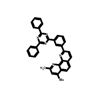 Cc1cc(C(C)(C)C)c2ccc3ccc(-c4cccc(-c5nc(-c6ccccc6)nc(-c6ccccc6)n5)c4)nc3c2n1